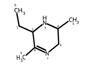 CCC1NC(C)CN=C1C